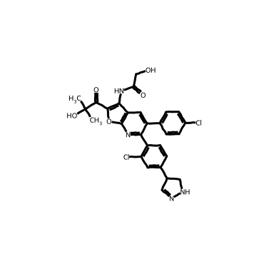 CC(C)(O)C(=O)c1oc2nc(-c3ccc(C4C=NNC4)cc3Cl)c(-c3ccc(Cl)cc3)cc2c1NC(=O)CO